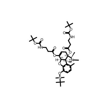 Cc1ccc(O[Si](C)(C)C(C)(C)C)c2c1[C@]13CCN(C)[C@H](C)[C@]1(OC(=O)CCNC(=O)OC(C)(C)C)CC=C(OC(=O)CCNC(=O)OC(C)(C)C)[C@@H]3O2